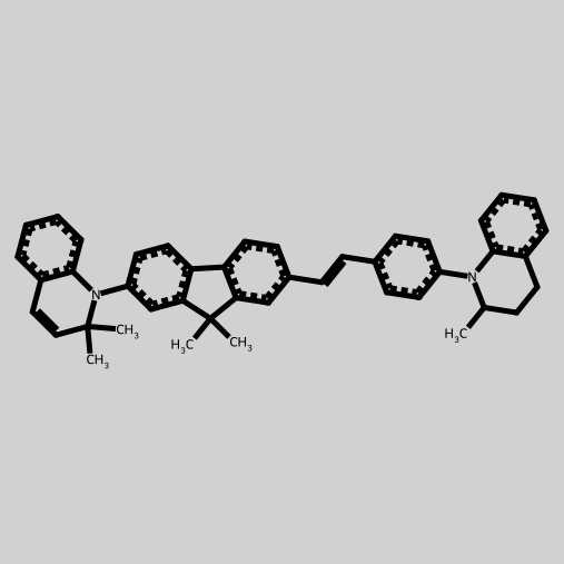 CC1CCc2ccccc2N1c1ccc(/C=C/c2ccc3c(c2)C(C)(C)c2cc(N4c5ccccc5C=CC4(C)C)ccc2-3)cc1